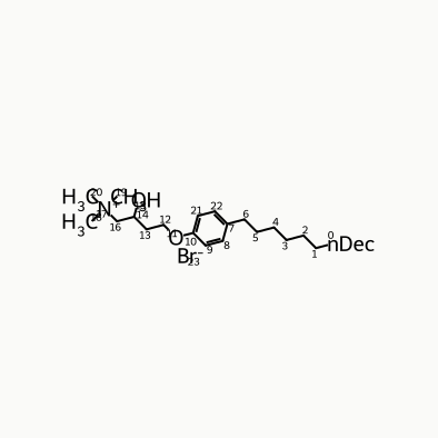 CCCCCCCCCCCCCCCCc1ccc(OCCC(O)C[N+](C)(C)C)cc1.[Br-]